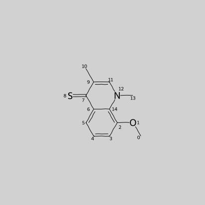 COc1cccc2c(=S)c(C)cn(C)c12